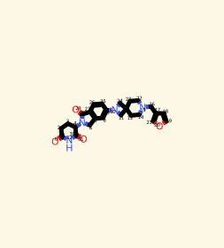 O=C1CCC(N2Cc3cc(N4CC5(CCN(Cc6ccoc6)CC5)C4)ccc3C2=O)C(=O)N1